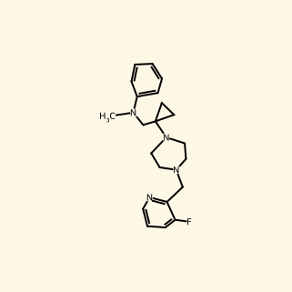 CN(CC1(N2CCN(Cc3ncccc3F)CC2)CC1)c1ccccc1